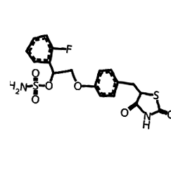 NS(=O)(=O)OC(COc1ccc(CC2SC(=O)NC2=O)cc1)c1ccccc1F